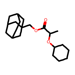 CC(OC1CCCCC1)C(=O)OCC12CC3CC(CC(C3)C1)C2